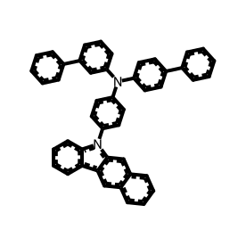 c1ccc(-c2ccc(N(c3ccc(-n4c5ccccc5c5cc6ccccc6cc54)cc3)c3cccc(-c4ccccc4)c3)cc2)cc1